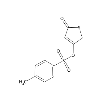 Cc1ccc(S(=O)(=O)OC2=CC(=O)SC2)cc1